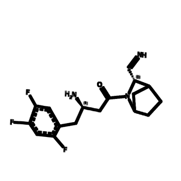 N=C[C@@H]1C2CCC(C2)N1C(=O)C[C@H](N)Cc1cc(F)c(F)cc1F